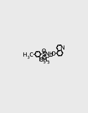 Cc1ccc(S(=O)(=O)N[C@@H](C)COc2cccc3ncccc23)c(C)c1